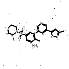 Cc1cc(-c2cncc(-c3cc(S(=O)(=O)N4CCOC[C@H]4C)ccc3C)c2)on1.N